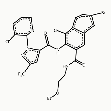 CCOCCNC(=O)c1cc2cc(Br)ccc2c(Cl)c1NC(=O)c1cc(C(F)(F)F)nn1-c1ncccc1Cl